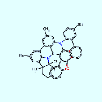 Cc1cc2c3c(c1)N(c1ccc(C(C)(C)C)cc1-c1ccccc1)c1ccc4oc5ccccc5c4c1B3N1c3c-2cc(C(C)(C)C)cc3C2(C)CCCCC12C